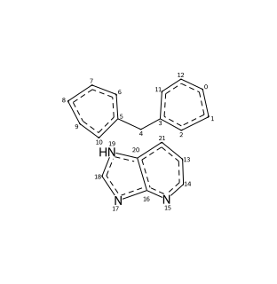 c1ccc(Cc2ccccc2)cc1.c1cnc2nc[nH]c2c1